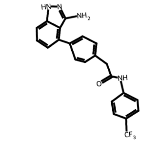 Nc1n[nH]c2cccc(-c3ccc(CC(=O)Nc4ccc(C(F)(F)F)cc4)cc3)c12